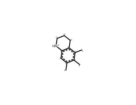 Cc1cc2c(c(C)c1C)[CH]CCN2